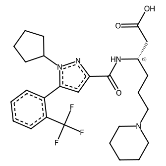 O=C(O)C[C@H](CCCN1CCCCC1)NC(=O)c1cc(-c2ccccc2C(F)(F)F)n(C2CCCC2)n1